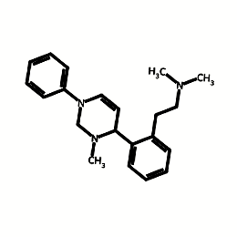 CN(C)CCc1ccccc1C1C=CN(c2ccccc2)CN1C